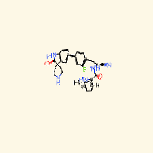 N#C[C@H](Cc1ccc(-c2ccc3c(c2)C2(CCNCC2)C(=O)N3)cc1F)NC(=O)[C@H]1N[C@@H]2CC[C@H]1C2